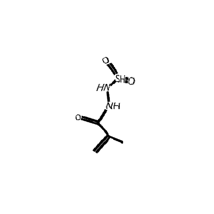 C=C(C)C(=O)NN[SH](=O)=O